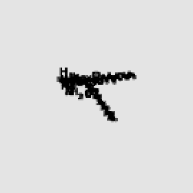 CC=CCCCCCCCOC(=O)OCC(COC(=O)OCCCCCCCC=CC)OCn1cnc2c(NC)nc(N)nc21